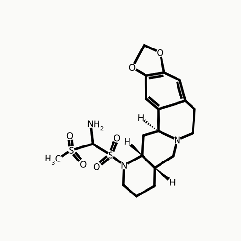 CS(=O)(=O)C(N)S(=O)(=O)N1CCC[C@H]2CN3CCc4cc5c(cc4[C@@H]3C[C@H]21)OCO5